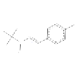 Cc1ccc(/C=N/[S+]([O-])C(C)(C)C)cc1